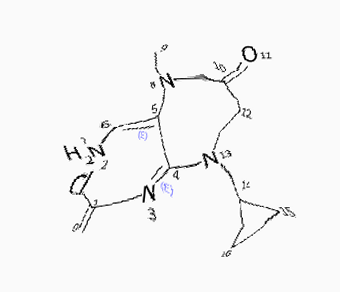 C=C(Cl)/N=C1\C(=C/N)N(C)C(=O)CN1C1CC1